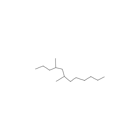 CCCCCCC(C)CC(C)CCC